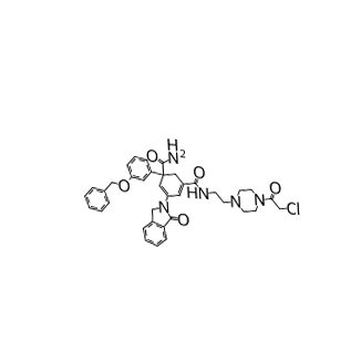 NC(=O)C1(c2cccc(OCc3ccccc3)c2)C=C(N2Cc3ccccc3C2=O)C=C(C(=O)NCCN2CCN(C(=O)CCl)CC2)C1